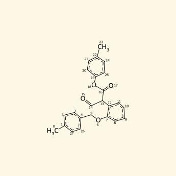 Cc1ccc(COc2ccccc2C([C]=O)C(=O)Oc2ccc(C)cc2)cc1